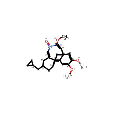 COC1=CC2=C3/C4=C\[N+](=O)/C(OC)=C\C2(C=C1OC)CC3CC(CC1CC1)C4